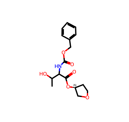 CC(O)C(NC(=O)OCc1ccccc1)C(=O)O[C@H]1CCOC1